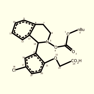 CCCCOC(=O)ON1CCc2ccccc2C1c1cc(Cl)ccc1OCC(=O)O